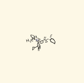 CN(C)/C=N/S(=O)(=O)c1cc(NC(=O)Cc2ccccc2F)ccc1-c1nnc(C2CC2)o1